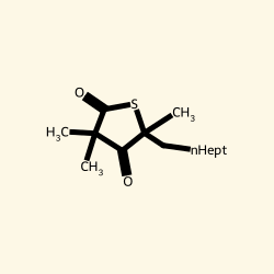 CCCCCCCCC1(C)SC(=O)C(C)(C)C1=O